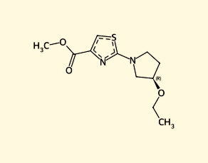 CCO[C@@H]1CCN(c2nc(C(=O)OC)cs2)C1